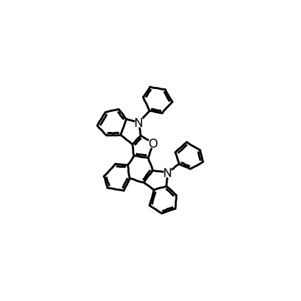 c1ccc(-n2c3ccccc3c3c4c5ccccc5c5c6ccccc6n(-c6ccccc6)c5c4oc32)cc1